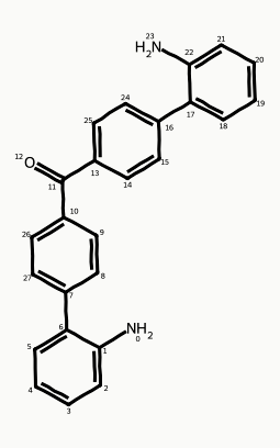 Nc1ccccc1-c1ccc(C(=O)c2ccc(-c3ccccc3N)cc2)cc1